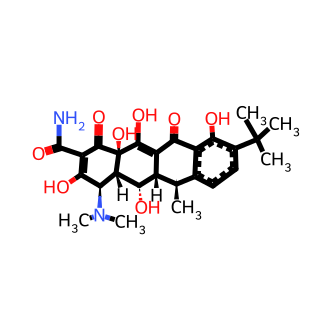 C[C@@H]1c2ccc(C(C)(C)C)c(O)c2C(=O)C2=C(O)[C@@]3(O)C(=O)C(C(N)=O)=C(O)[C@H](N(C)C)[C@H]3[C@@H](O)[C@H]21